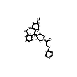 O=C(CSc1ccncc1)N1CCN(C2c3ccc(Cl)cc3SCc3cccnc32)CC1